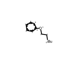 CCC(C)CCOc1[c]cccc1